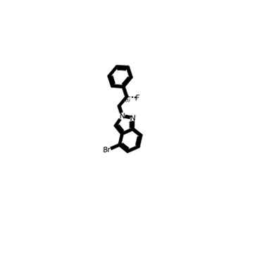 F[C@H](Cn1cc2c(Br)cccc2n1)c1ccccc1